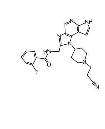 N#CCCN1CCC(n2c(CNC(=O)c3ccccc3F)nc3cnc4[nH]ccc4c32)CC1